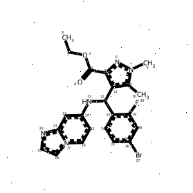 CCOC(=O)c1nn(C)c(C)c1C(Nc1ccn2ccnc2c1)c1ccc(Br)cc1F